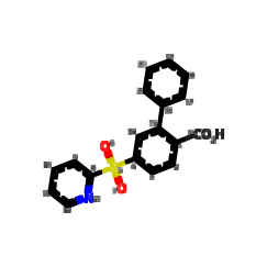 O=C(O)c1ccc(S(=O)(=O)c2ccccn2)cc1-c1ccccc1